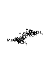 COC(=O)Nc1nc(C)c(S(=O)(=O)N2CCN(CC(C)Nc3ncnc4c(-c5cn(C)nc5C)cccc34)CC2)s1